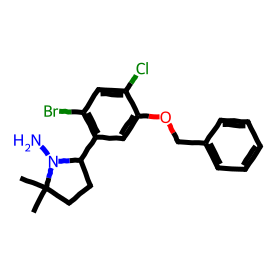 CC1(C)CCC(c2cc(OCc3ccccc3)c(Cl)cc2Br)N1N